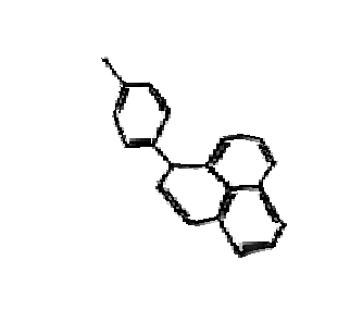 Cc1ccc(C2C=Cc3cccc4cccc2c34)cc1